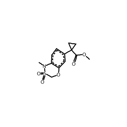 COC(=O)C1(c2ccc3c(c2)OCS(=O)(=O)N3C)CC1